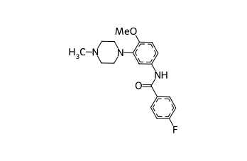 COc1ccc(NC(=O)c2ccc(F)cc2)cc1N1CCN(C)CC1